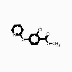 COC(=O)c1ccc(Oc2ccccn2)cc1Cl